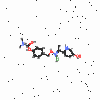 CC(c1ccc(O)cn1)=[N+](Cl)OCc1ccc(OC(=O)N(C)C)cc1